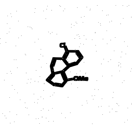 COc1cccc2ccc3c(Cl)cccc3c12